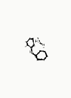 B(C1CCCCC1)C1CCCCC1.CCO